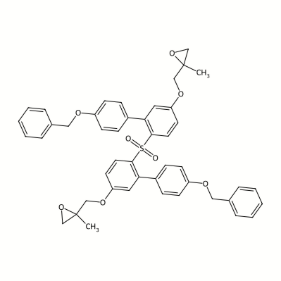 CC1(COc2ccc(S(=O)(=O)c3ccc(OCC4(C)CO4)cc3-c3ccc(OCc4ccccc4)cc3)c(-c3ccc(OCc4ccccc4)cc3)c2)CO1